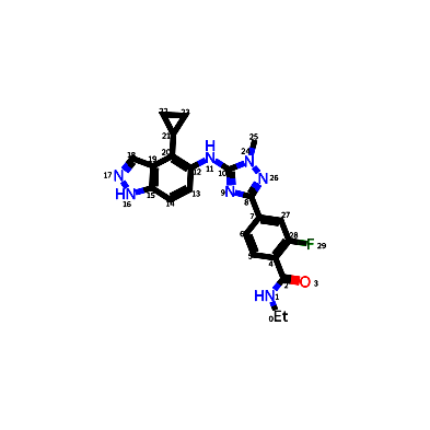 CCNC(=O)c1ccc(-c2nc(Nc3ccc4[nH]ncc4c3C3CC3)n(C)n2)cc1F